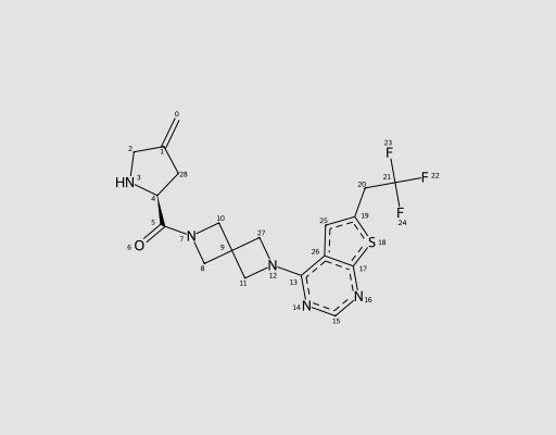 C=C1CN[C@H](C(=O)N2CC3(C2)CN(c2ncnc4sc(CC(F)(F)F)cc24)C3)C1